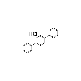 Cl.c1ccc(-c2ccc(-c3ccccc3)cc2)cc1